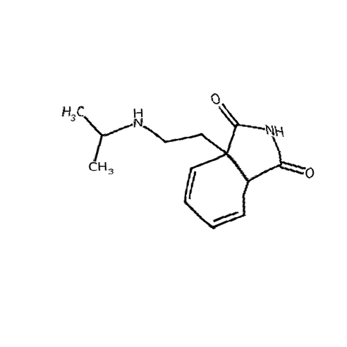 CC(C)NCCC12C=CC=CC1C(=O)NC2=O